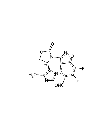 Cn1ncnc1[C@H]1COC(=O)N1c1noc2c(F)c(F)c(C=O)cc12